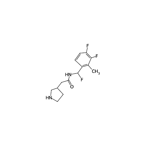 Cc1c(C(F)NC(=O)CC2CCNC2)ccc(F)c1F